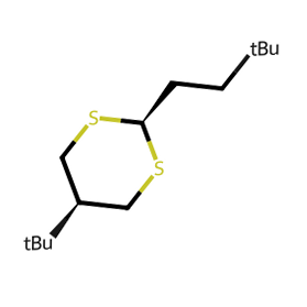 CC(C)(C)CC[C@H]1SC[C@@H](C(C)(C)C)CS1